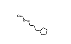 O=CO[N]CCCC1CCCC1